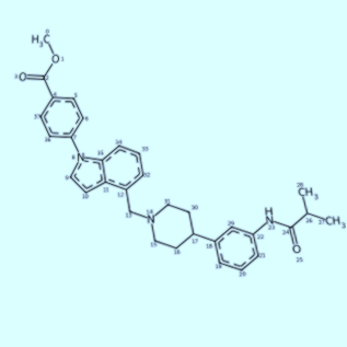 COC(=O)c1ccc(-n2ccc3c(CN4CCC(c5cccc(NC(=O)C(C)C)c5)CC4)cccc32)cc1